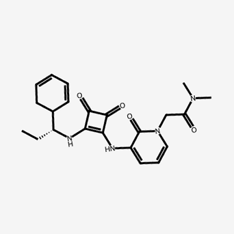 CC[C@@H](Nc1c(Nc2cccn(CC(=O)N(C)C)c2=O)c(=O)c1=O)C1C=CC=CC1